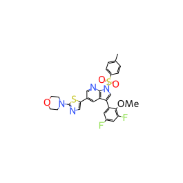 COc1c(F)cc(F)cc1-c1cn(S(=O)(=O)c2ccc(C)cc2)c2ncc(-c3cnc(N4CCOCC4)s3)cc12